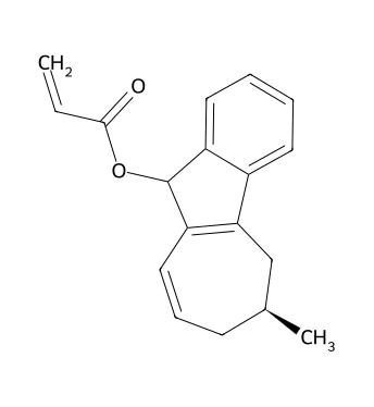 C=CC(=O)OC1C2=C(C[C@@H](C)CC=C2)c2ccccc21